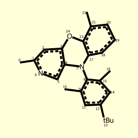 Cc1cc2c(cn1)N(c1c(C)cc(C(C)(C)C)cc1C)c1cccc(C)c1O2